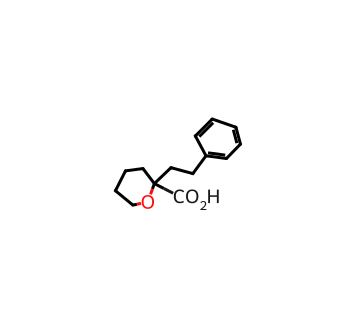 O=C(O)C1(CCc2ccccc2)CCCCO1